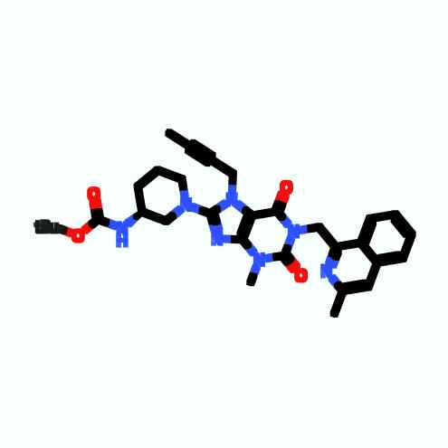 CC#CCn1c(N2CCC[C@H](NC(=O)OC(C)(C)C)C2)nc2c1c(=O)n(Cc1nc(C)cc3ccccc13)c(=O)n2C